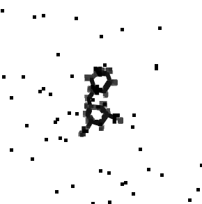 Fc1cc(F)cc(CN2C=CC=NC2)c1